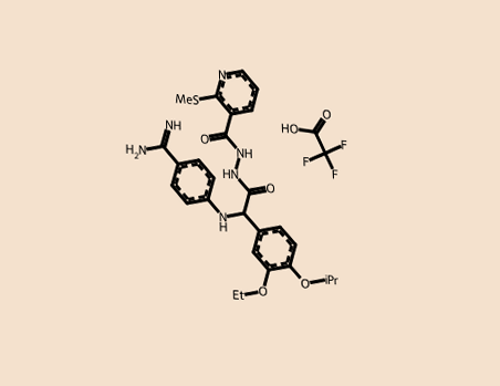 CCOc1cc(C(Nc2ccc(C(=N)N)cc2)C(=O)NNC(=O)c2cccnc2SC)ccc1OC(C)C.O=C(O)C(F)(F)F